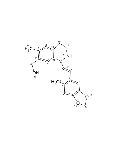 Cc1cc2c(cc1/C=C/C1NCCc3cc(C)c(CO)cc31)OCO2